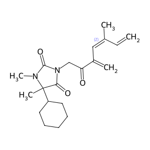 C=C/C(C)=C\C(=C)C(=O)CN1C(=O)N(C)C(C)(C2CCCCC2)C1=O